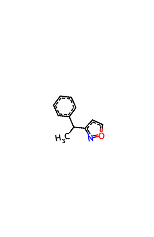 CC(c1ccccc1)c1ccon1